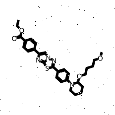 CCOC(=O)c1ccc(-c2cn3nc(-c4ccc(N5CCCCC5OCCCCOC)cc4)sc3n2)cc1